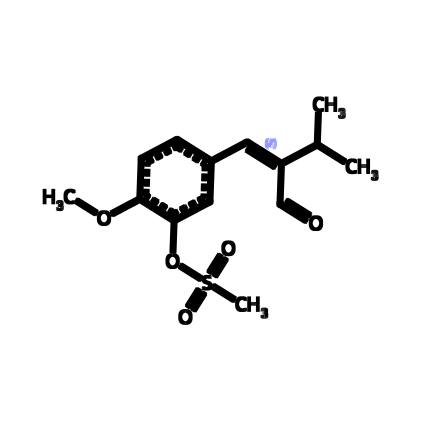 COc1ccc(/C=C(\C=O)C(C)C)cc1OS(C)(=O)=O